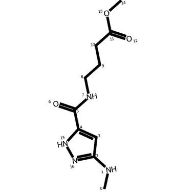 CNc1cc(C(=O)NCCCC(=O)OC)[nH]n1